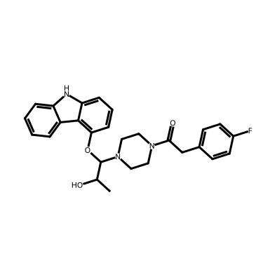 CC(O)C(Oc1cccc2[nH]c3ccccc3c12)N1CCN(C(=O)Cc2ccc(F)cc2)CC1